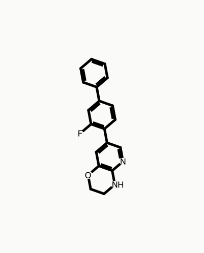 Fc1cc(-c2ccccc2)ccc1-c1cnc2c(c1)OCCN2